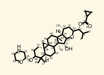 CC(C)[C@@H](OC(=O)C1CC1)C1C[C@@H](C)[C@H]2C(O1)[C@H](O)[C@@]1(C)C3CC[C@H]4C(C)(C)C(O[C@H]5CNCCO5)CC[C@@]45C[C@@]35CC[C@]21C